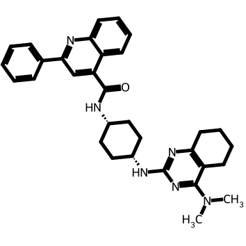 CN(C)c1nc(N[C@H]2CC[C@@H](NC(=O)c3cc(-c4ccccc4)nc4ccccc34)CC2)nc2c1CCCC2